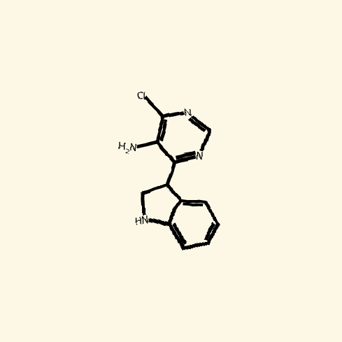 Nc1c(Cl)ncnc1C1CNc2ccccc21